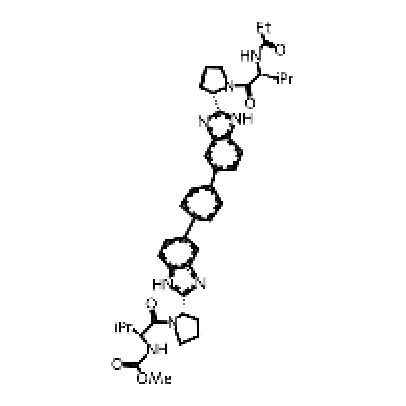 CCC(=O)N[C@H](C(=O)N1CCC[C@H]1c1nc2cc(-c3ccc(-c4ccc5[nH]c([C@@H]6CCCN6C(=O)[C@@H](NC(=O)OC)C(C)C)nc5c4)cc3)ccc2[nH]1)C(C)C